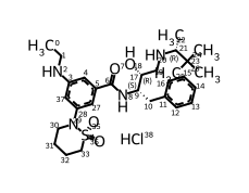 CCNc1cc(C(=O)N[C@@H](Cc2ccccc2)[C@H](O)CN[C@H](C)C(C)(C)C)cc(N2CCCCS2(=O)=O)c1.Cl